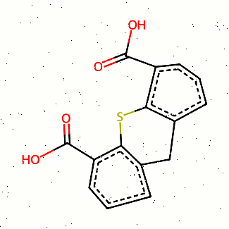 O=C(O)c1cccc2c1Sc1c(cccc1C(=O)O)C2